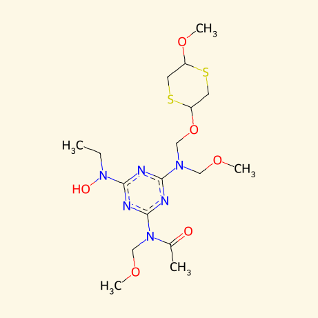 CCN(O)c1nc(N(COC)COC2CSC(OC)CS2)nc(N(COC)C(C)=O)n1